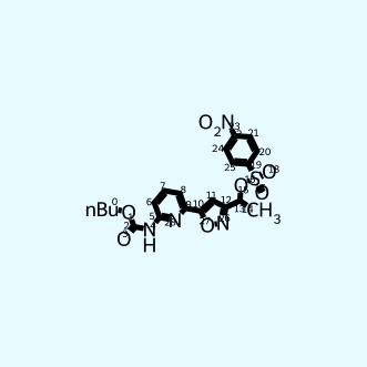 CCCCOC(=O)Nc1cccc(-c2cc(C(C)OS(=O)(=O)c3ccc([N+](=O)[O-])cc3)no2)n1